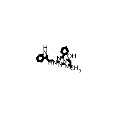 CC1=NC2=NC(NCCc3c[nH]c4ccccc34)=NC(c3ccccc3)N2C(O)=C1